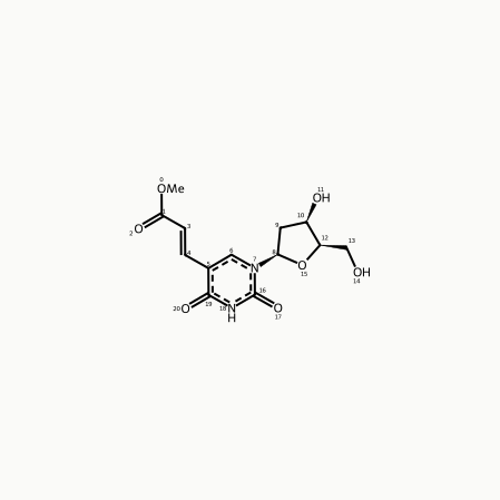 COC(=O)/C=C/c1cn([C@H]2C[C@@H](O)[C@@H](CO)O2)c(=O)[nH]c1=O